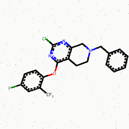 Fc1ccc(Oc2nc(Cl)nc3c2CCN(Cc2ccccc2)C3)c(C(F)(F)F)c1